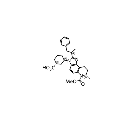 COC(=O)N1c2ccc3c(nc([C@H](C)Cc4ccccc4)n3[C@@H]3CCC[C@@H](C(=O)O)C3)c2CC[C@@H]1C